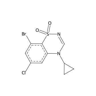 O=S1(=O)N=CN(C2CC2)c2cc(Cl)cc(Br)c21